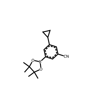 CC1(C)OB(c2cc(C#N)cc(C3CC3)c2)OC1(C)C